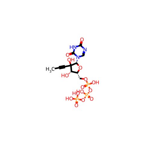 CC#CC1(O)[C@@H](O)[C@@H](COP(=O)(O)OP(=O)(O)OP(=O)(O)O)O[C@H]1n1cnc(=O)[nH]c1=O